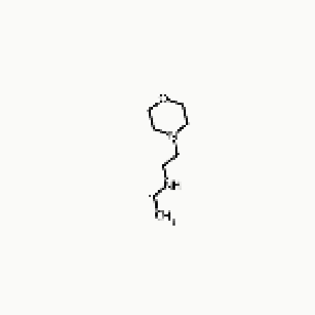 C[CH]NCCN1CCOCC1